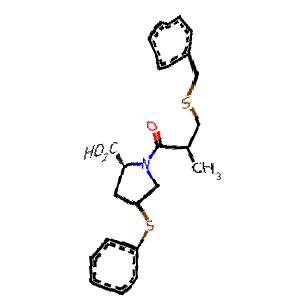 CC(CSCc1ccccc1)C(=O)N1CC(Sc2ccccc2)C[C@H]1C(=O)O